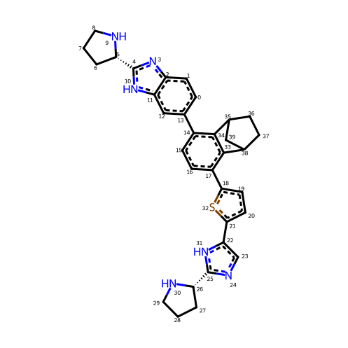 c1cc2nc([C@@H]3CCCN3)[nH]c2cc1-c1ccc(-c2ccc(-c3cnc([C@@H]4CCCN4)[nH]3)s2)c2c1C1CCC2C1